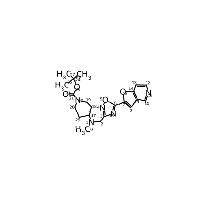 CN(Cc1noc(-c2cc3cnccc3o2)n1)C1CCN(C(=O)OC(C)(C)C)CC1